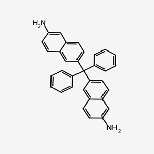 Nc1ccc2cc(C(c3ccccc3)(c3ccccc3)c3ccc4cc(N)ccc4c3)ccc2c1